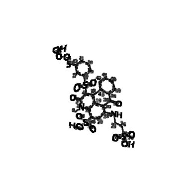 Cn1c(=O)c(S(=O)(=O)c2cccc(SOOO)c2)c2c3c(c(NCCS(=O)(=O)O)cc(S(=O)(=O)O)c31)C(=O)c1ccccc1-2